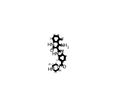 C[C@@H]1CN(C(=O)c2ccc3nc(-c4c(N)c5c(F)cccc5[nH]c4=O)[nH]c3c2)CCN1